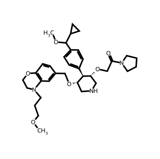 COCCCN1CCOc2ccc(CO[C@H]3CNC[C@@H](OCC(=O)N4CCCC4)[C@@H]3c3ccc(C(OC)C4CC4)cc3)cc21